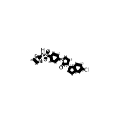 O=C1[C@@H](C2CCc3cc(Cl)ccc32)CCN1c1ccc(S(=O)(=O)Nc2nccs2)cc1